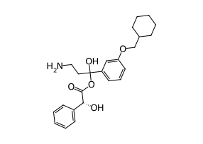 NCCC(O)(OC(=O)[C@H](O)c1ccccc1)c1cccc(OCC2CCCCC2)c1